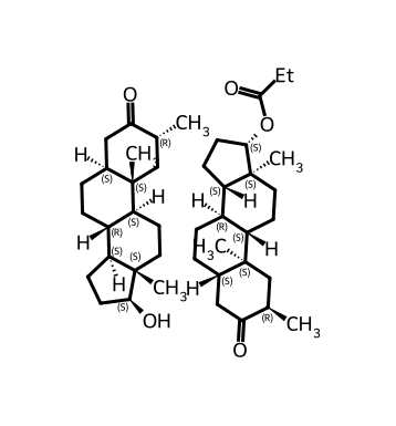 CCC(=O)O[C@H]1CC[C@H]2[C@@H]3CC[C@H]4CC(=O)[C@H](C)C[C@]4(C)[C@H]3CC[C@]12C.C[C@@H]1C[C@@]2(C)[C@@H](CC[C@@H]3[C@@H]2CC[C@]2(C)[C@@H](O)CC[C@@H]32)CC1=O